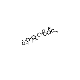 C=CCOc1ccc(OC(=O)C2CCC(c3ccc(-c4ccc(C(C)O)cc4)c(F)c3F)CC2)cc1F